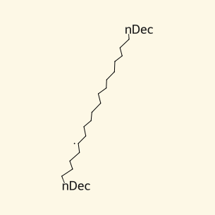 CCCCCCCCCCCCCC[CH]CCCCCCCCCCCCCCCCCCCCCCC